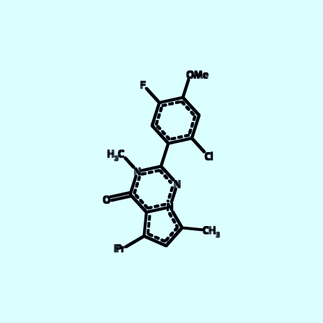 COc1cc(Cl)c(-c2nn3c(C)cc(C(C)C)c3c(=O)n2C)cc1F